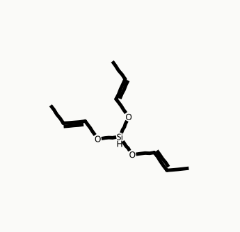 C/C=C/O[SiH](O/C=C/C)O/C=C/C